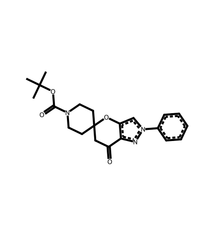 CC(C)(C)OC(=O)N1CCC2(CC1)CC(=O)c1nn(-c3ccccc3)cc1O2